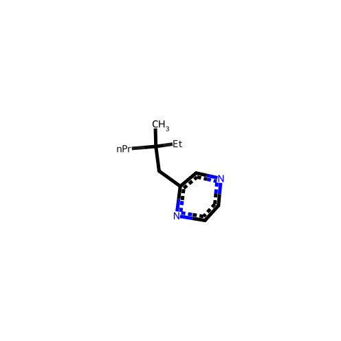 CCCC(C)(CC)Cc1cnccn1